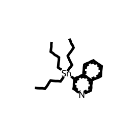 CCC[CH2][Sn]([CH2]CCC)([CH2]CCC)[c]1cncc2ccccc12